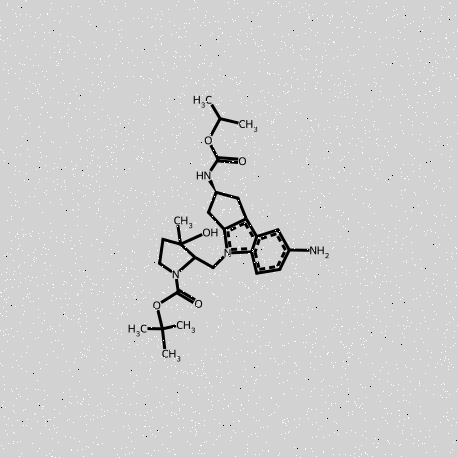 CC(C)OC(=O)N[C@H]1Cc2c(n(CC3N(C(=O)OC(C)(C)C)CCC3(C)O)c3ccc(N)cc23)C1